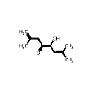 C=C(C)CC(=O)C(O)C=C(C)C